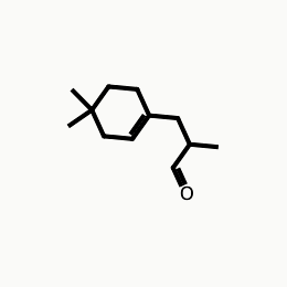 CC(C=O)CC1=CCC(C)(C)CC1